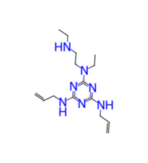 C=CCNc1nc(NCC=C)nc(N(CC)CCNCC)n1